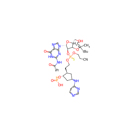 CC(C)C(=O)Nc1nc2c(ncn2[C@@H]2O[C@H](CO)C(O[Si](C)(C)C(C)(C)C)[C@H]2OP(=S)(OCCC#N)OCC[C@H]2C[C@@H](Nc3ccncn3)C[C@@H]2O[PH](=O)O)c(=O)[nH]1